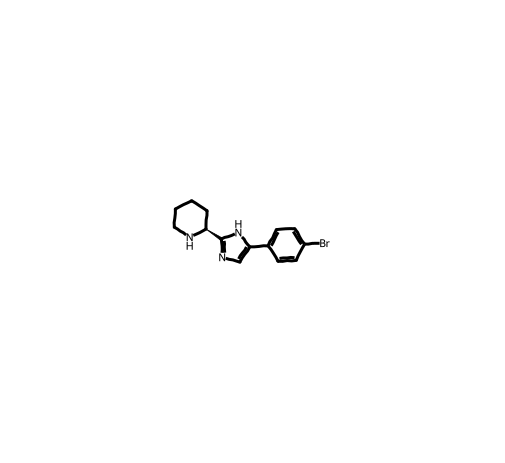 Brc1ccc(-c2cnc([C@@H]3CCCCN3)[nH]2)cc1